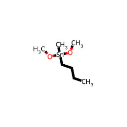 CCC[CH2][Sn]([CH3])([O]C)[O]C